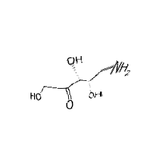 NC[C@H](O)[C@@H](O)C(=O)CO